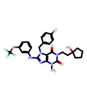 Cn1c(=O)n(CCC2(O)CCCC2)c(=O)c2c1nc(Nc1cccc(OC(F)(F)F)c1)n2Cc1ccc(Cl)cc1